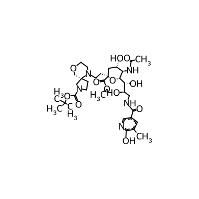 COC(=O)[C@@]1(CCN2CCOC[C@@]23CCN(C(=O)OC(C)(C)C)C3)C[C@H](O)[C@@H](NC(C)=O)[C@H]([C@H](O)[C@H](O)CNC(=O)c2cnc(O)c(C)c2)O1